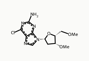 COC[C@H]1O[C@@H](n2cnc3c(Cl)nc(N)nc32)C[C@H]1OC